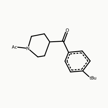 CC(=O)N1CCC(C(=O)c2ccc(C(C)(C)C)cc2)CC1